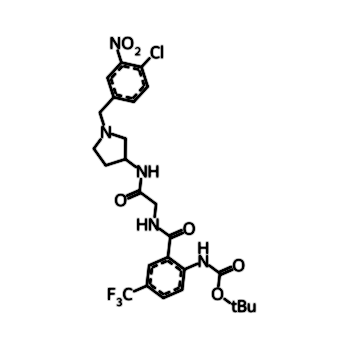 CC(C)(C)OC(=O)Nc1ccc(C(F)(F)F)cc1C(=O)NCC(=O)NC1CCN(Cc2ccc(Cl)c([N+](=O)[O-])c2)C1